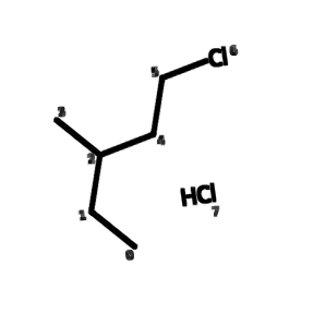 CCC(C)CCCl.Cl